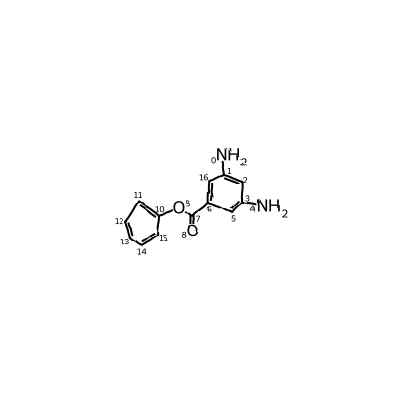 Nc1cc(N)cc(C(=O)Oc2ccccc2)c1